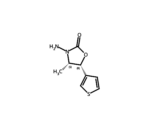 C[C@H]1[C@@H](c2ccsc2)OC(=O)N1N